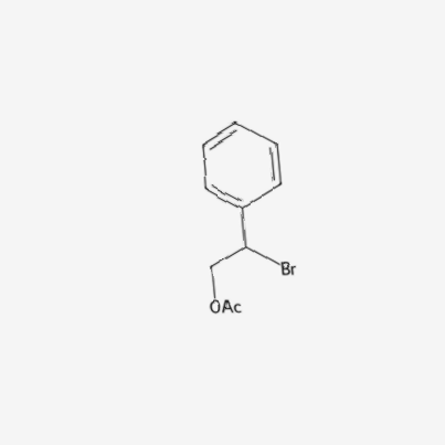 CC(=O)OCC(Br)c1ccccc1